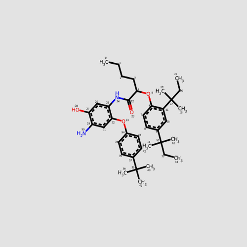 CCCCC(Oc1ccc(C(C)(C)CC)cc1C(C)(C)CC)C(=O)Nc1cc(O)c(N)cc1Oc1ccc(C(C)(C)C)cc1